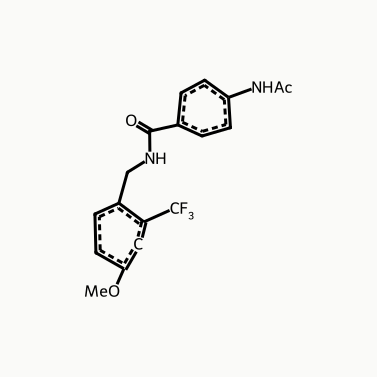 COc1ccc(CNC(=O)c2ccc(NC(C)=O)cc2)c(C(F)(F)F)c1